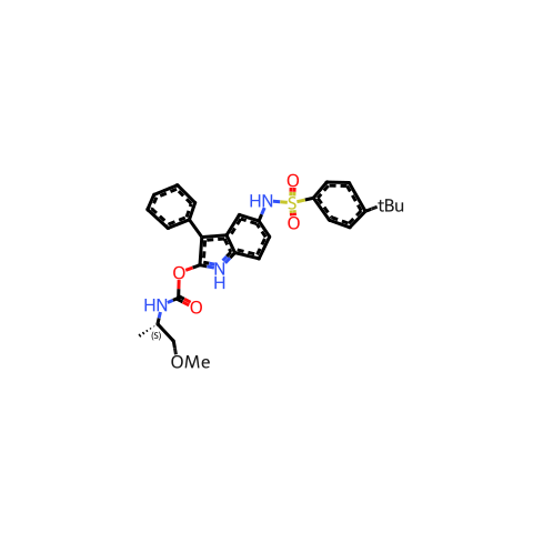 COC[C@H](C)NC(=O)Oc1[nH]c2ccc(NS(=O)(=O)c3ccc(C(C)(C)C)cc3)cc2c1-c1ccccc1